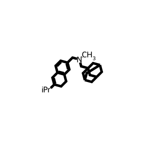 CC(C)C1=Cc2ccc(CN(C)CC34CC5CC(CC(C5)C3)C4)cc2CC1